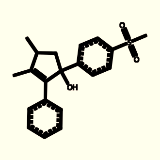 CC1=C(c2ccccc2)C(O)(c2ccc(S(C)(=O)=O)cc2)CC1C